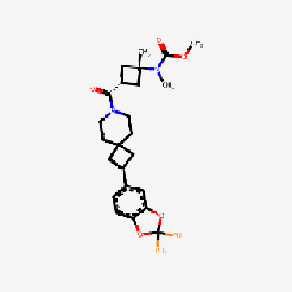 COC(=O)N(C)[C@]1(C)C[C@H](C(=O)N2CCC3(CC2)CC(c2ccc4c(c2)OC(P)(P)O4)C3)C1